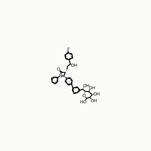 O=C1[C@H](CC[C@H](O)c2ccc(F)cc2)[C@@H](c2ccc(-c3cccc([C@H](O)[C@H]4OC(O)[C@H](O)[C@@H](O)[C@@H]4O)c3)cc2)N1c1ccccc1